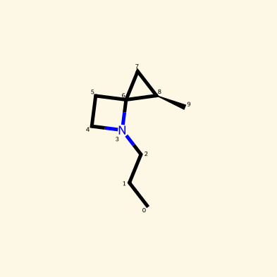 CCCN1CCC12C[C@H]2C